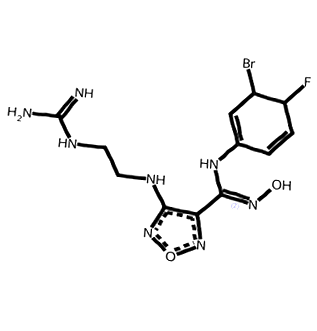 N=C(N)NCCNc1nonc1/C(=N/O)NC1=CC(Br)C(F)C=C1